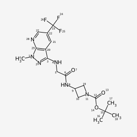 Cn1nc(NCC(=O)NC2CN(C(=O)OC(C)(C)C)C2)c2cc(C(F)(F)F)cnc21